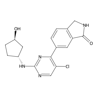 O=C1NCc2ccc(-c3nc(N[C@@H]4CC[C@@H](O)C4)ncc3Cl)cc21